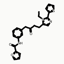 CCn1c(CCC(=O)Cc2cccc(NC(=O)c3ccco3)c2)cnc1-c1cccs1